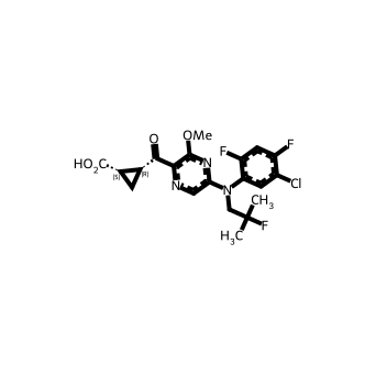 COc1nc(N(CC(C)(C)F)c2cc(Cl)c(F)cc2F)cnc1C(=O)[C@@H]1C[C@@H]1C(=O)O